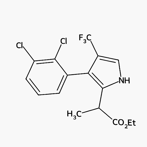 CCOC(=O)C(C)c1[nH]cc(C(F)(F)F)c1-c1cccc(Cl)c1Cl